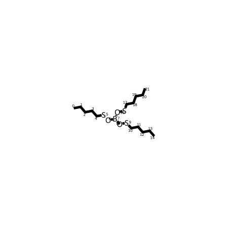 CCCCCSOB(OSCCCCC)OSCCCCC